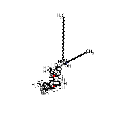 CCCCCCCCCCCCC/C=C/[C@@H](O)[C@H](CO[C@@H]1OC(CO)[C@@H](O[C@@H]2OC(CO)[C@H](O)[C@H](O[C@@H]3OC(CO[C@]4(C(=O)O)CC(O)[C@@H](NC(C)=O)C([C@H](O)[C@H](O)CO)O4)[C@@H](O[C@H]4OC(C)[C@@H](O)C(O)[C@@H]4O)[C@H](O[C@@H]4OC(CO)[C@H](O)[C@H](O)C4O)C3NC(C)=O)C2O)[C@H](O)C1O)NC(=O)CCCCCCCCCCCCCCCCCCCCCCCCC